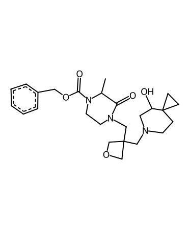 CC1C(=O)N(CC2(CN3CCC4(CC4)C(O)C3)COC2)CCN1C(=O)OCc1ccccc1